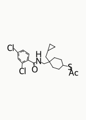 CC(=O)SC1CCC(CNC(=O)c2ccc(Cl)cc2Cl)(CC2CC2)CC1